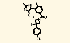 Cc1nc(C(F)(F)F)c(-c2cc(C(=O)N3CC(F)(c4ccc(C#N)cc4)C3)ccc2C)[nH]1